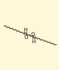 CCCCCCCCCCCCCNC(=O)C=CC(=O)NCCCCCCCCCCCCC